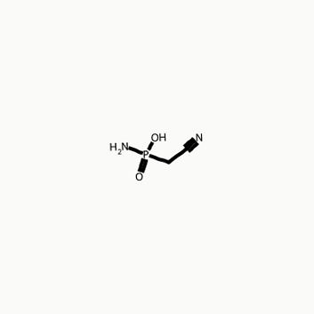 N#CCP(N)(=O)O